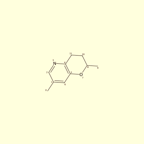 Cc1cnc2c(c1)OC(C)CC2